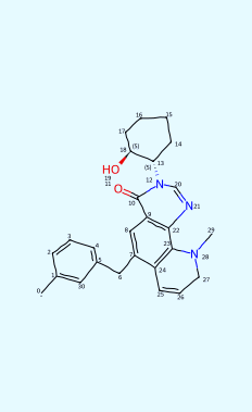 [CH2]c1cccc(Cc2cc3c(=O)n([C@H]4CCCC[C@@H]4O)cnc3c3c2C=CCN3C)c1